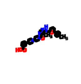 Cc1ccc(C2CCCC(CNc3ncnc(C(=O)N4CCC(N5CCC(c6cccc(C(=O)O)c6)CC5)CC4)c3C)O2)cc1